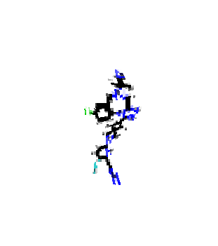 CC(C)(C#N)N1Cc2cc(Cl)ccc2-n2c(nnc2C2CC3(C2)CN(c2ccc(F)c(C#N)n2)C3)C1